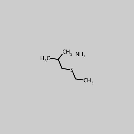 CCSCC(C)C.N